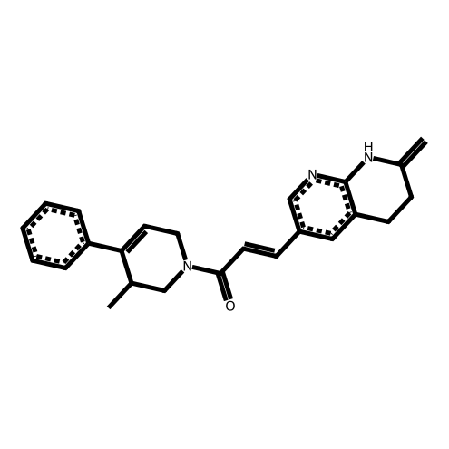 C=C1CCc2cc(/C=C/C(=O)N3CC=C(c4ccccc4)C(C)C3)cnc2N1